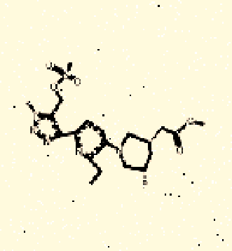 CCc1nc(-c2nnn(C)c2COS(C)(=O)=O)ccc1N1C[C@@H](F)C[C@H](CC(=O)OC)C1